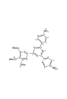 COc1cc(-c2cc(-c3ccc(N)cc3)nc(-c3ccc(N)cc3)c2)cc(OC)c1OC